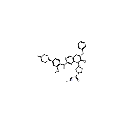 C/C=C/C(=O)N1CC[C@H](N2C(=O)N(Cc3ccccc3)Cc3cnc(Nc4ccc(N5CCN(C)CC5)cc4OC)nc32)C1